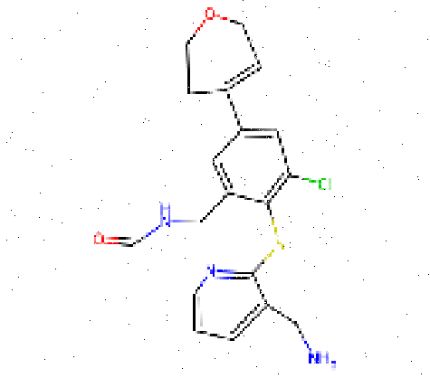 NCc1cccnc1Sc1c(Cl)cc(C2=CCOCC2)cc1CNC=O